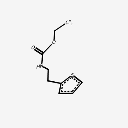 O=C(NCCc1cccs1)OCC(F)(F)F